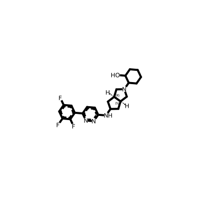 OC1CCCCC1N1C[C@H]2CC(Nc3ccc(-c4cc(F)cc(F)c4F)nn3)C[C@H]2C1